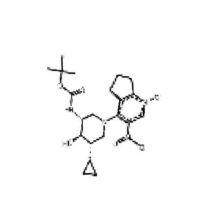 CC(C)(C)OC(=O)N[C@@H]1CN(c2c([N+](=O)[O-])c[n+]([O-])c3c2CCC3)C[C@H](C2CC2)[C@H]1O